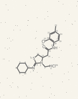 CCN1/C(=N/C2CCCCC2)SCC1CC(=O)Nc1ccc(C)cc1Cl.Cl